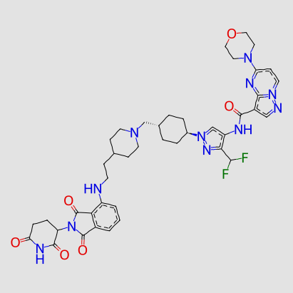 O=C1CCC(N2C(=O)c3cccc(NCCC4CCN(C[C@H]5CC[C@H](n6cc(NC(=O)c7cnn8ccc(N9CCOCC9)nc78)c(C(F)F)n6)CC5)CC4)c3C2=O)C(=O)N1